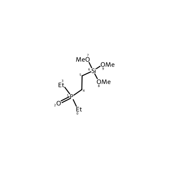 CCP(=O)(CC)CC[Si](OC)(OC)OC